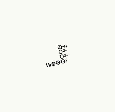 [O-2].[O-2].[O-2].[O-2].[O-2].[W+6].[Zr+4]